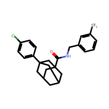 O=C(NCc1cccc(C(F)(F)F)c1)C12CC3CC(C1)CC(c1ccc(Cl)cc1)(C3)C2